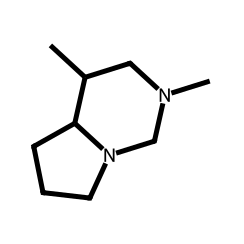 CC1CN(C)CN2CCCC12